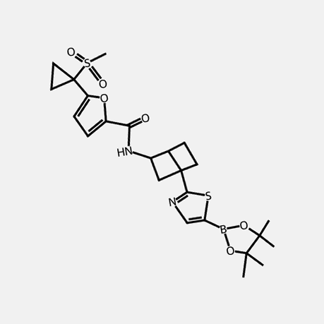 CC1(C)OB(c2cnc(C34CCC3C(NC(=O)c3ccc(C5(S(C)(=O)=O)CC5)o3)C4)s2)OC1(C)C